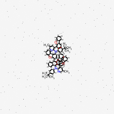 Cc1cnc(N(c2ccc(C(C)(C)C)cc2)c2cc3c(c4ccccc24)-c2c(cc(N(c4ccc(C(C)(C)C)cc4)c4ncc(C)cc4-c4cccc5c4oc4ccccc45)c4c2oc2ccccc24)C32c3ccccc3-c3ccccc32)c(-c2cccc3c2oc2ccccc23)c1